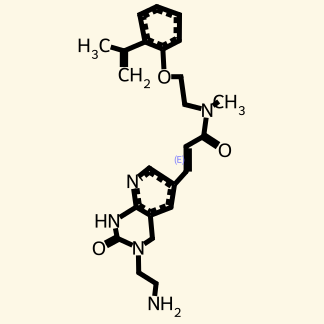 C=C(C)c1ccccc1OCCN(C)C(=O)/C=C/c1cnc2c(c1)CN(CCN)C(=O)N2